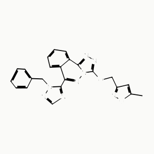 Cc1cc(COc2nnc3c4ccccc4c(-c4ncnn4Cc4ccccc4)nn23)no1